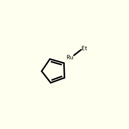 C1=CCC=C1.C[CH2][Ru]